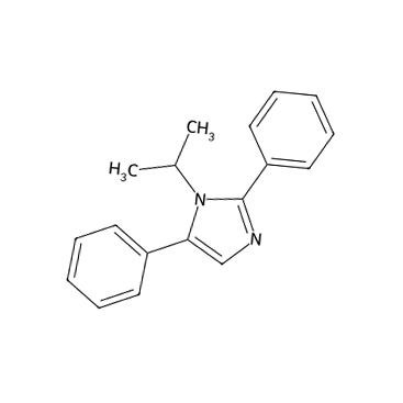 CC(C)n1c(-c2ccccc2)cnc1-c1ccccc1